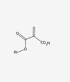 C=C(C(=O)O)C(=O)OC(C)C